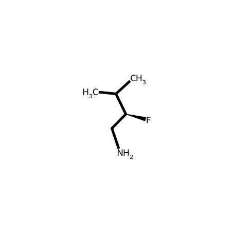 CC(C)[C@@H](F)CN